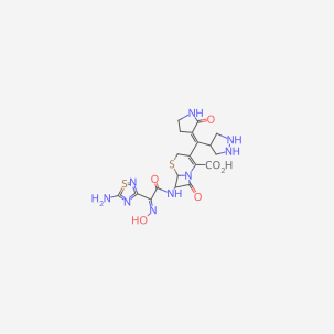 Nc1nc(C(=NO)C(=O)NC2C(=O)N3C(C(=O)O)=C(C(=C4CCNC4=O)C4CNNC4)CSC23)ns1